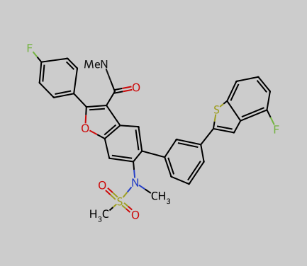 CNC(=O)c1c(-c2ccc(F)cc2)oc2cc(N(C)S(C)(=O)=O)c(-c3cccc(-c4cc5c(F)cccc5s4)c3)cc12